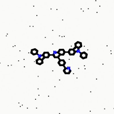 c1ccc(-n2c3ccccc3c3cc(-c4ccc5nc(-c6ccc7c(c6)c6ccccc6n7-c6ccccc6)cc(-c6ccc(-c7ccccn7)cc6)c5c4)ccc32)cc1